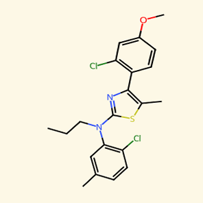 CCCN(c1nc(-c2ccc(OC)cc2Cl)c(C)s1)c1cc(C)ccc1Cl